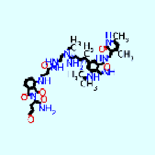 CCN(CCNNC(=O)CCNc1cccc2c1C(=O)N(C(CCC=O)C(N)=O)C2=O)/C(N)=C/C=C(\C)c1cc(NC(C)C)c(C=N)c(C(=O)NCc2c(C)cc(C)[nH]c2=O)c1